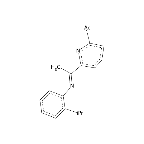 CC(=O)c1cccc(/C(C)=N/c2ccccc2C(C)C)n1